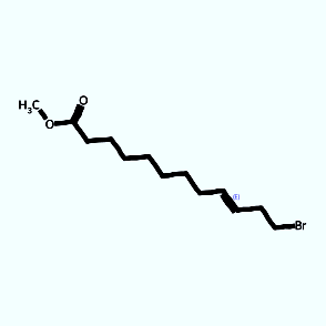 COC(=O)CCCCCCC/C=C/CCBr